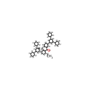 C=Cc1ccc(-c2cc(-c3ccccc3)cc(-c3ccccc3)c2)cc1C(=O)c1cc(-c2cc(-c3ccccc3)cc(-c3ccccc3)c2)ccc1C